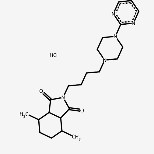 CC1CCC(C)C2C(=O)N(CCCCN3CCN(c4ncccn4)CC3)C(=O)C12.Cl